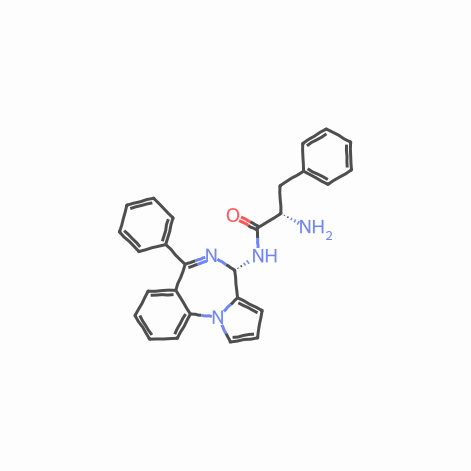 N[C@@H](Cc1ccccc1)C(=O)N[C@H]1N=C(c2ccccc2)c2ccccc2-n2cccc21